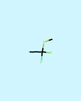 [CH2]C(F)(F)SC